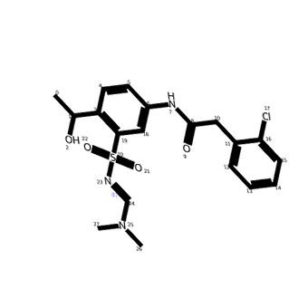 CC(O)c1ccc(NC(=O)Cc2ccccc2Cl)cc1S(=O)(=O)/N=C/N(C)C